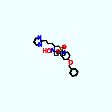 O=CN(O)C(CCCc1ncccn1)CS(=O)(=O)N1CCC(OCc2ccccc2)CC1